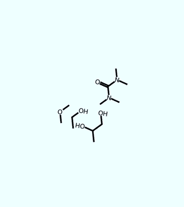 CC(O)CO.CCO.CN(C)C(=O)N(C)C.COC